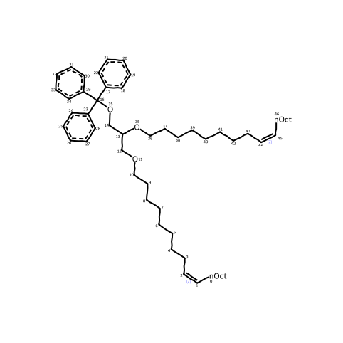 CCCCCCCC/C=C\CCCCCCCCOCC(COC(c1ccccc1)(c1ccccc1)c1ccccc1)OCCCCCCCC/C=C\CCCCCCCC